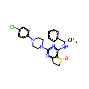 C[C@H](Nc1nc(N2CCN(c3ccc(Cl)cc3)CC2)nc2c1[S@+]([O-])CC2)c1ccccc1